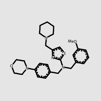 COc1cccc(CN(Cc2ccc(N3CCOCC3)cc2)c2nc(CN3CCCCC3)cs2)c1